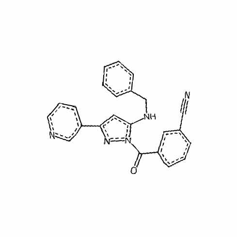 N#Cc1cccc(C(=O)n2nc(-c3cccnc3)cc2NCc2ccccc2)c1